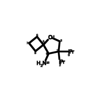 CC(C)C1(C(C)C)COC2(CCC2)C1N